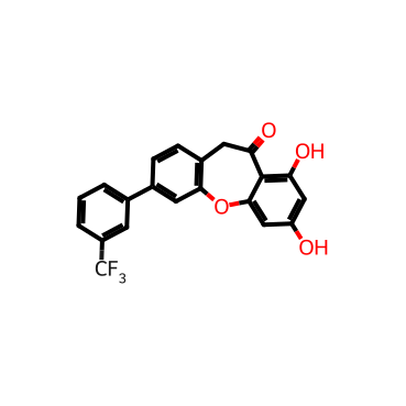 O=C1Cc2ccc(-c3cccc(C(F)(F)F)c3)cc2Oc2cc(O)cc(O)c21